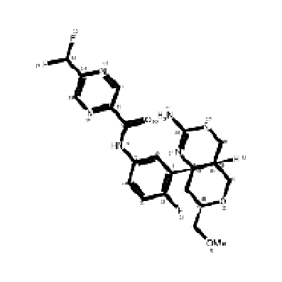 COC[C@H]1C[C@]2(c3cc(NC(=O)c4cnc(C(F)F)cn4)ccc3F)N=C(N)SC[C@@H]2CO1